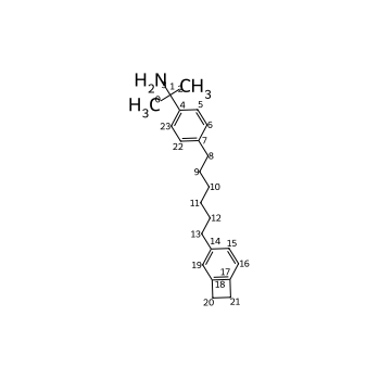 CC(C)(N)c1ccc(CCCCCCc2ccc3c(c2)CC3)cc1